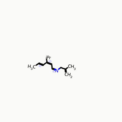 C=C(C)C\N=C/C=C(\C=C\C)C(C)C